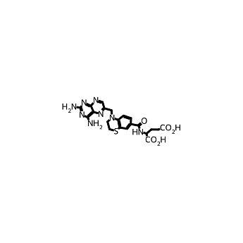 Nc1nc(N)c2nc(CN3CCSc4cc(C(=O)NC(CCC(=O)O)C(=O)O)ccc43)cnc2n1